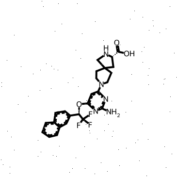 Nc1nc(O[C@H](c2ccc3ccccc3c2)C(F)(F)F)cc(N2CCC3(CC2)CN[C@H](C(=O)O)C3)n1